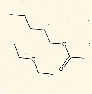 CCCCCOC(C)=O.CCOCC